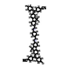 Cc1ccc(N(c2ccc(C#N)cc2)c2ccc3c(c2)C(C)(C)c2cc(/C=C/c4ccc(/C=C/c5ccc6c(c5)C(C)(C)c5cc(N(c7ccc(C)cc7)c7ccc(C#N)cc7)ccc5-6)cc4)ccc2-3)cc1